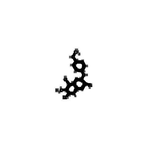 CCc1cc2nc(CC)c(C)c([O])c2cc1Oc1ccc(OC(F)(F)F)cc1